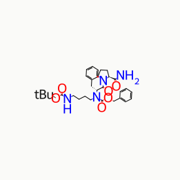 CC(C)(C)OC(=O)NCCCCN(C(=O)OCc1ccccc1)[C@H](Cc1ccccc1)C(=O)N1CCC[C@H]1C(N)=O